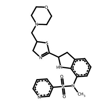 CN(c1cccc2c1NC(C1=NCC(CN3CCOCC3)S1)C2)S(=O)(=O)c1cccnc1